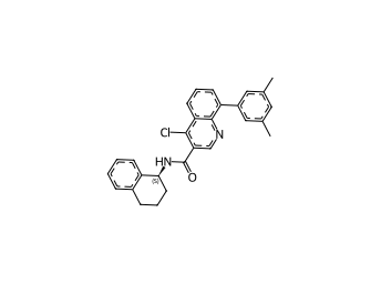 Cc1cc(C)cc(-c2cccc3c(Cl)c(C(=O)N[C@H]4CCCc5ccccc54)cnc23)c1